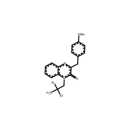 CCC(N)(CC)Cn1c(=O)c(Cc2ccc(OC)cc2)nc2ccccc21